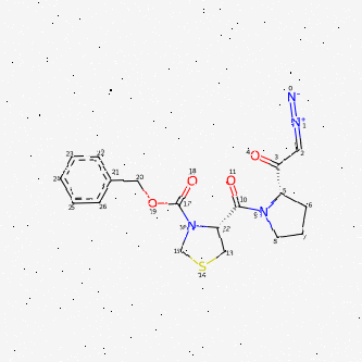 [N-]=[N+]=CC(=O)[C@@H]1CCCN1C(=O)[C@@H]1CSCN1C(=O)OCc1ccccc1